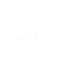 CCCCCCCCCCCCCC/C=C/C(CC(N)=O)C(=O)O.N